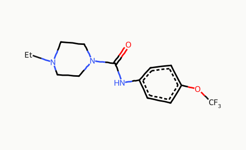 [CH2]CN1CCN(C(=O)Nc2ccc(OC(F)(F)F)cc2)CC1